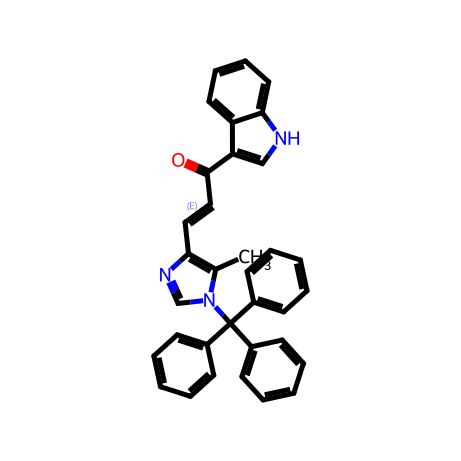 Cc1c(/C=C/C(=O)c2c[nH]c3ccccc23)ncn1C(c1ccccc1)(c1ccccc1)c1ccccc1